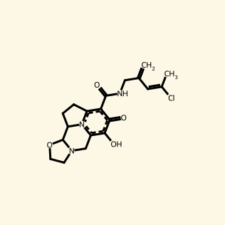 C=C(/C=C(\C)Cl)CNC(=O)c1c2n3c(c(O)c1=O)CN1CCOC1C3CC2